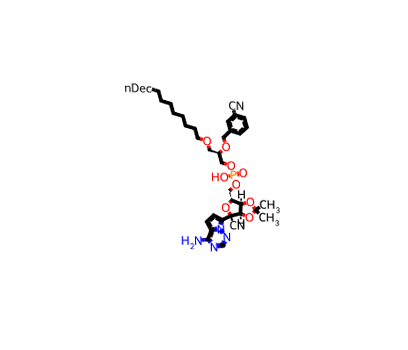 CCCCCCCCCCCCCCCCCCOC[C@H](COP(=O)(O)OC[C@H]1O[C@@](C#N)(c2ccc3c(N)ncnn23)[C@@H]2OC(C)(C)O[C@@H]21)OCc1cccc(C#N)c1